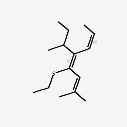 C/C=C\C(=C(/C=C(C)C)SCC)C(C)CC